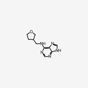 c1nc(NCC2CCOC2)c2nc[nH]c2n1